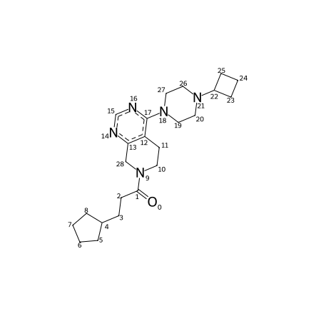 O=C(CCC1CCCC1)N1CCc2c(ncnc2N2CCN(C3CCC3)CC2)C1